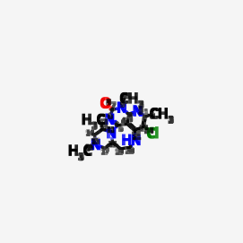 Cc1nc2c3c(nc(=O)n2C)N2C(C)CN(C)CC2CCNc3c1Cl